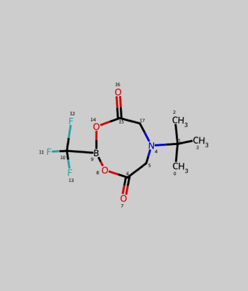 CC(C)(C)N1CC(=O)OB(C(F)(F)F)OC(=O)C1